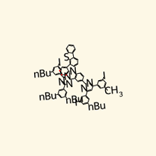 CCCCc1cc(I)cc(-c2cc(-c3cc(C)cc(I)c3)nc(-c3ccc(-n4c5ccccc5c5c6sc7ccccc7c6ccc54)c(-c4nc(-c5cc(I)cc(CCCC)c5)nc(-c5cc(CCCC)cc(CCCC)c5)n4)c3)n2)c1